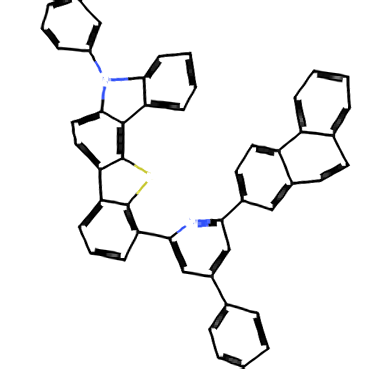 c1ccc(-c2cc(-c3ccc4c(ccc5ccccc54)c3)nc(-c3cccc4c3sc3c4ccc4c3c3ccccc3n4-c3ccccc3)c2)cc1